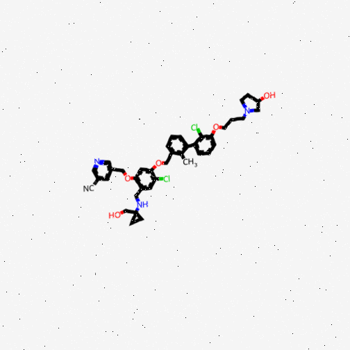 Cc1c(COc2cc(OCc3cncc(C#N)c3)c(CNC3(CO)CC3)cc2Cl)cccc1-c1cccc(OCCCN2CCC(O)C2)c1Cl